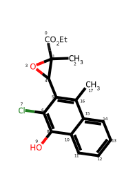 CCOC(=O)C1(C)OC1c1c(Cl)c(O)c2ccccc2c1C